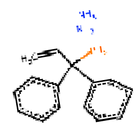 C=CC(P)(c1ccccc1)c1ccccc1.N.N